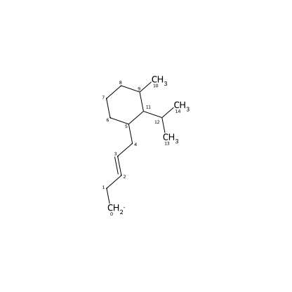 [CH2]CC=CCC1CCCC(C)C1C(C)C